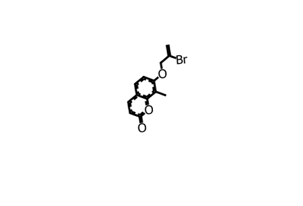 C=C(Br)COc1ccc2ccc(=O)oc2c1C